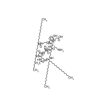 CCCCCCCCCCCCCCCCC(CCCCCCCCCCCCCCCC)C(=O)NCCCC[C@@H](NC(=O)[C@H](CCCCN)NC(=O)[C@@H](CCCCNC(=O)C(CCCCCCCCCCCCCCCC)CCCCCCCCCCCCCCCC)NC(=O)[C@@H](N)CCNC(=O)CNC(=O)C(CS)NC(C)=O)C(=O)N[C@@H](CCC(=O)O)C(=O)O